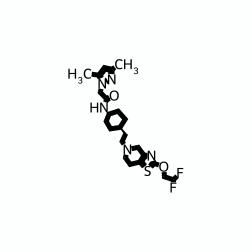 Cc1cc(C)n(CC(=O)N[C@H]2CC[C@H](CCN3CCc4sc(OCC(F)F)nc4C3)CC2)n1